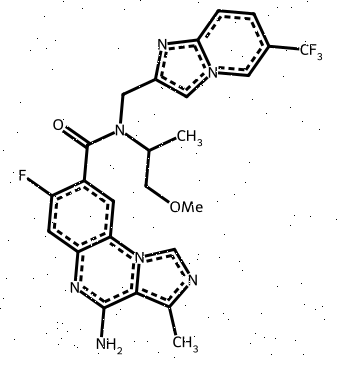 COCC(C)N(Cc1cn2cc(C(F)(F)F)ccc2n1)C(=O)c1cc2c(cc1F)nc(N)c1c(C)ncn12